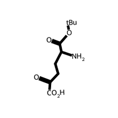 CC(C)(C)OC(=O)C(N)CCC(=O)C(=O)O